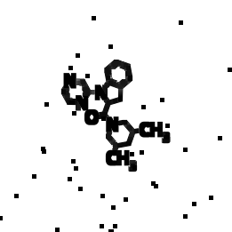 CC1CC(C)CN(C(=O)C2Cc3ccccc3N2c2cnccn2)C1